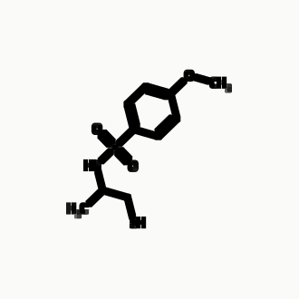 COc1ccc(S(=O)(=O)NC(C)CS)cc1